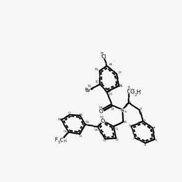 O=C(O)C(Cc1ccccc1)N(Cc1ccc(-c2cccc(C(F)(F)F)c2)o1)C(=O)c1ccc(Cl)cc1Br